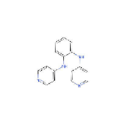 c1ccc(Nc2ccncc2)c(Nc2ccncc2)c1